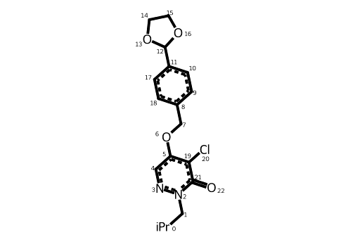 CC(C)Cn1ncc(OCc2ccc(C3OCCO3)cc2)c(Cl)c1=O